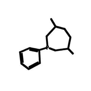 CC1CCC(C)CP(c2ccccc2)C1